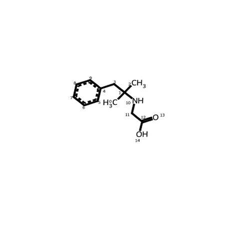 CC(C)(Cc1ccccc1)NCC(=O)O